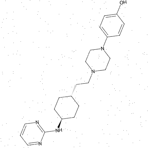 Oc1ccc(N2CCN(CC[C@H]3CC[C@H](Nc4ncccn4)CC3)CC2)cc1